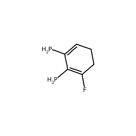 FC1=C(P)C(P)=CCC1